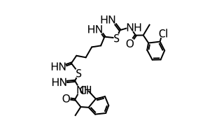 CC(C(=O)NC(=N)SC(=N)CCCCC(=N)SC(=N)NC(=O)C(C)c1ccccc1Cl)c1ccccc1Cl